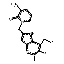 Cc1nc2cc(Cn3cccc(N)c3=O)[nH]c2c(CC(C)C)c1F